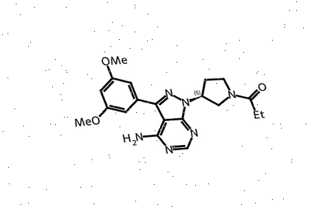 CCC(=O)N1CC[C@H](n2nc(-c3cc(OC)cc(OC)c3)c3c(N)ncnc32)C1